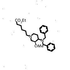 CCOC(=O)CCCCCN1CCC(N(Cc2ccccc2)Cc2ccccc2)[C@@H](OC)C1